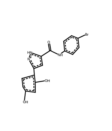 O=C(Nc1ccc(Br)cc1)c1cc(-c2ccc(O)cc2O)n[nH]1